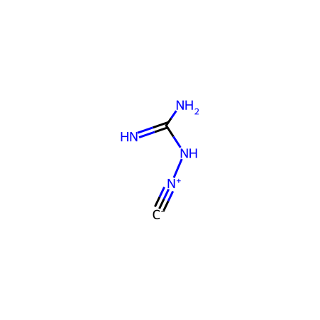 [C-]#[N+]NC(=N)N